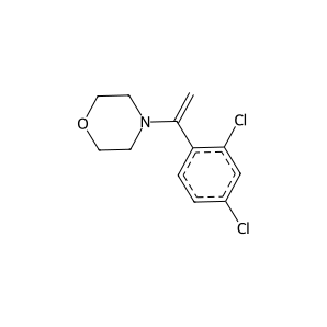 C=C(c1ccc(Cl)cc1Cl)N1CCOCC1